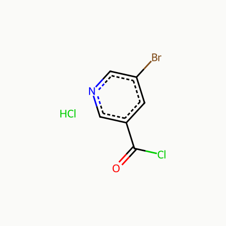 Cl.O=C(Cl)c1cncc(Br)c1